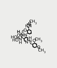 COc1ccc(CNc2cc(Nc3cccc(-c4ncn(C)n4)c3OC)c(C(=O)NC(O)(O)O)cn2)c(OC)c1